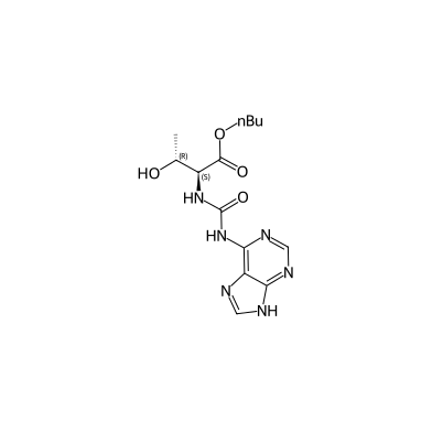 CCCCOC(=O)[C@@H](NC(=O)Nc1ncnc2[nH]cnc12)[C@@H](C)O